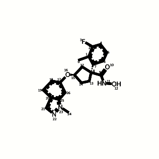 Cc1c(F)cccc1[C@]1(C(=O)NO)CC[C@@H](Oc2ccc3cnn(C)c3c2)C1